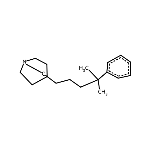 CC(C)(CCCC12CCN(CC1)CC2)c1ccccc1